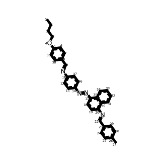 CCCCOc1ccc(C=Nc2ccc(N=Nc3ccc(N=Cc4ccc(C)cc4)c4ccccc34)cc2)cc1